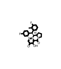 Cc1c(F)cccc1C(c1ccc(F)cc1)[C@H]1[C@H]2CCCN2C(=O)c2c(O)c(=O)cnn21